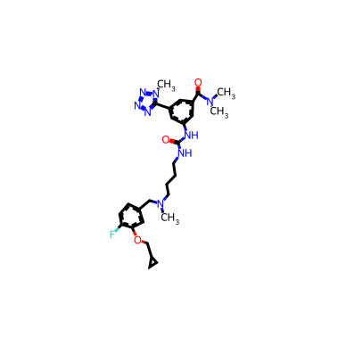 CN(CCCCNC(=O)Nc1cc(C(=O)N(C)C)cc(-c2nnnn2C)c1)Cc1ccc(F)c(OCC2CC2)c1